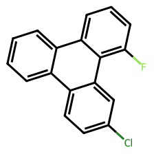 Fc1cccc2c3ccccc3c3ccc(Cl)cc3c12